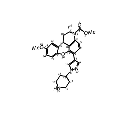 COC(=O)N1c2ccc(-c3cnn(C4CCNCC4)c3)c(Oc3ccc(OC)cc3)c2CC[C@@H]1C